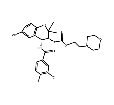 CC(=O)c1ccc2c(c1)[C@@H](NC(=O)c1ccc(F)c(Cl)c1)[C@H](OC(=O)OCCN1CCOCC1)C(C)(C)O2